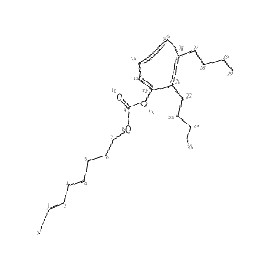 CCCCCCCCOC(=O)Oc1cccc(CCCC)c1CCCC